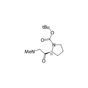 CNCC(=O)[C@@H]1CCCN1C(=O)OC(C)(C)C